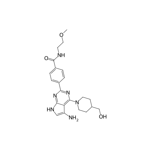 COCCNC(=O)c1ccc(-c2nc(N3CCC(CO)CC3)c3c(N)c[nH]c3n2)cc1